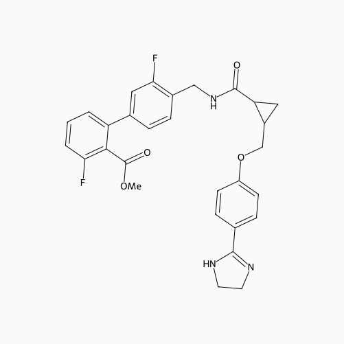 COC(=O)c1c(F)cccc1-c1ccc(CNC(=O)C2CC2COc2ccc(C3=NCCN3)cc2)c(F)c1